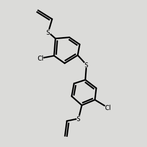 C=CSc1ccc(Sc2ccc(SC=C)c(Cl)c2)cc1Cl